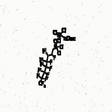 CCCCCCCCCC[Si](Cl)(Cl)Cl.FC(C[Si](Cl)(Cl)Cl)C(F)C(F)(F)C(F)(F)C(F)(F)C(F)(F)C(F)(F)F